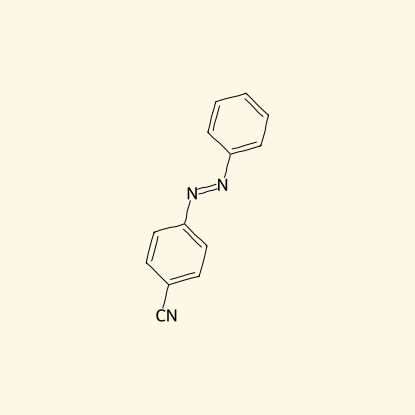 N#Cc1ccc(/N=N/c2ccccc2)cc1